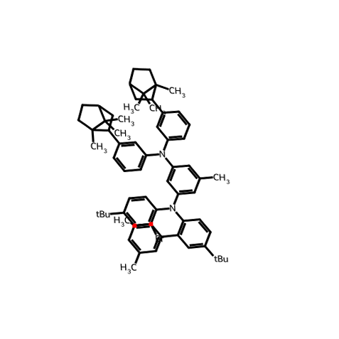 Cc1cc(C)cc(-c2cc(C(C)(C)C)ccc2N(c2cc(C)cc(N(c3cccc(C4CC5CCC4(C)C5(C)C)c3)c3cccc(C4CC5CCC4(C)C5(C)C)c3)c2)c2ccc(C(C)(C)C)cc2Br)c1